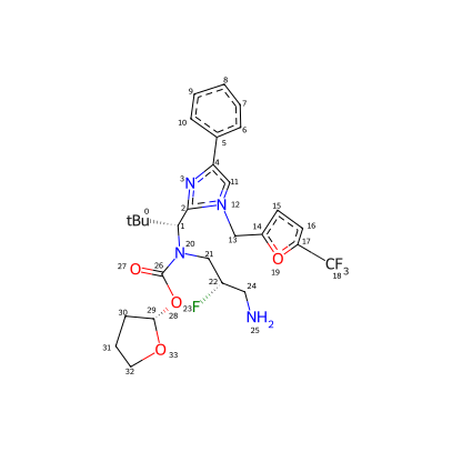 CC(C)(C)[C@H](c1nc(-c2ccccc2)cn1Cc1ccc(C(F)(F)F)o1)N(C[C@@H](F)CN)C(=O)O[C@H]1CCCO1